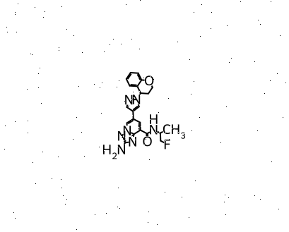 CC(CF)NC(=O)c1cc(-c2cnn(C3CCOc4ccccc43)c2)cn2nc(N)nc12